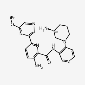 CC(C)Oc1cncc(-c2ccc(N)c(C(=O)Nc3cnccc3N3CCC[C@H](N)C3)n2)n1